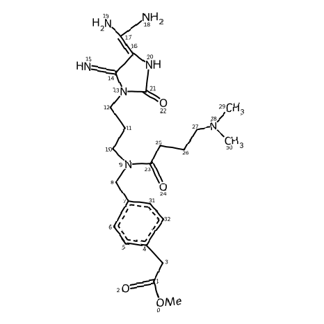 COC(=O)Cc1ccc(CN(CCCN2C(=N)C(=C(N)N)NC2=O)C(=O)CCCN(C)C)cc1